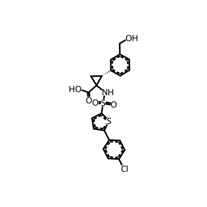 O=C(O)C1(NS(=O)(=O)c2ccc(-c3ccc(Cl)cc3)s2)C[C@@H]1c1cccc(CO)c1